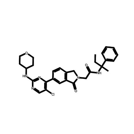 CCC(C)(NC(=O)CN1Cc2ccc(-c3nc(NC4CCOCC4)ncc3Cl)cc2C1=O)c1ccccc1